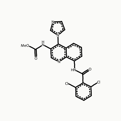 COC(=O)Nc1cnc2c(NC(=O)c3c(Cl)cccc3Cl)cccc2c1-n1ccnc1